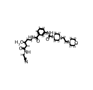 CC(CCNC(=O)c1cccc(NC(=O)N2CCN(CCN3CCOCC3)CC2)c1)CC(=O)NCC#N